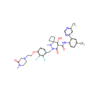 CN1CCN(CCOc2ccc(CN3C(=O)C(C(=O)Nc4ccc(C(F)(F)F)cc4-c4cc(C(F)(F)F)ncn4)=C(O)C4(CCC4)N3C)c(F)c2F)CC1=O